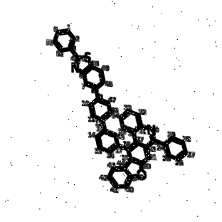 c1ccc(-c2nc3cc(-c4ccc(-c5cccc(-c6c7c(cc8c(-c9ccccc9)nc9ccccc9c68)oc6ccccc67)c5)cc4)ccc3s2)cc1